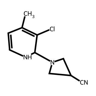 CC1=C(Cl)C(N2CC(C#N)C2)NC=C1